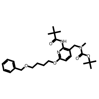 CN(Cc1ccc(OCCCCOCc2ccccc2)nc1NC(=O)C(C)(C)C)C(=O)OC(C)(C)C